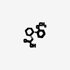 COc1ccccc1[C@H]1CCCC[C@H]1CC(=O)O